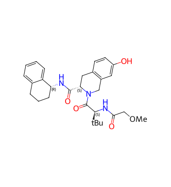 COCC(=O)N[C@H](C(=O)N1Cc2cc(O)ccc2C[C@H]1C(=O)N[C@@H]1CCCc2ccccc21)C(C)(C)C